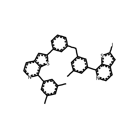 Cc1cc(Cc2cccc(-c3cc4ccnc(-c5cc(C)cc(C)c5)c4s3)c2)cc(-c2nccc3cc(I)sc23)c1